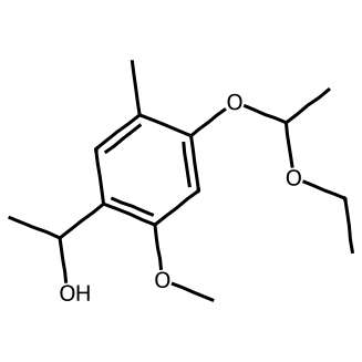 CCOC(C)Oc1cc(OC)c(C(C)O)cc1C